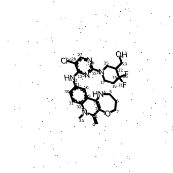 C=C1C2=C(NCCCO2)c2cc(Nc3nc(N4CCC(F)(F)C(CO)C4)ncc3Cl)ccc2N1C